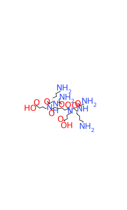 NCCCC[C@H](NC(=O)CN)C(=O)N(CCCC(=O)O)C(=O)CCCCC(=O)N(CCCC(=O)O)C(=O)[C@H](CCCCN)NC(=O)CN